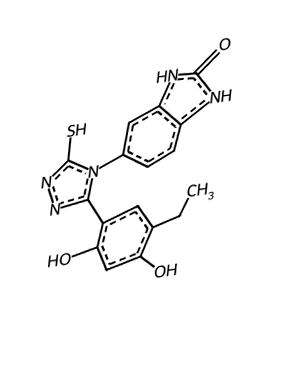 CCc1cc(-c2nnc(S)n2-c2ccc3[nH]c(=O)[nH]c3c2)c(O)cc1O